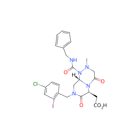 CN1CC(=O)N2[C@@H](CC(=O)O)C(=O)N(Cc3ccc(Cl)cc3I)C[C@@H]2N1C(=O)NCc1ccccc1